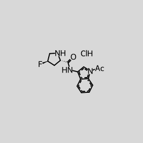 CC(=O)n1cc(NC(=O)[C@@H]2C[C@@H](F)CN2)c2ccccc21.Cl